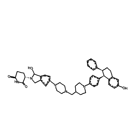 O=C1CC[C@H](N2Cc3cc(N4CCN(CC5CCN(c6ccc([C@@H]7c8ccc(O)cc8CC[C@@H]7c7ccccc7)cc6)CC5)CC4)ccc3C2O)C(=O)N1